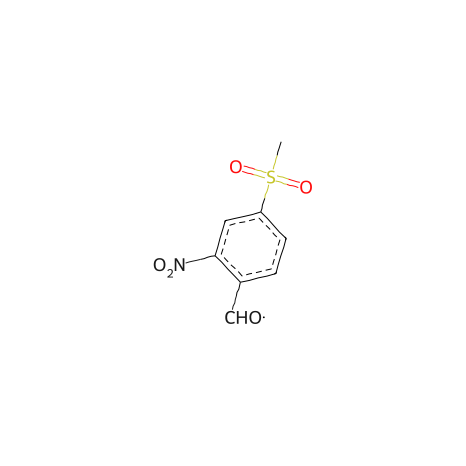 CS(=O)(=O)c1ccc([C]=O)c([N+](=O)[O-])c1